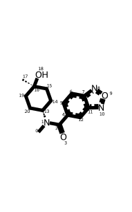 CN(C(=O)c1ccc2nonc2c1)[C@H]1CC[C@](C)(O)CC1